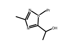 Cc1nc(C(C)O)n(C(C)C)n1